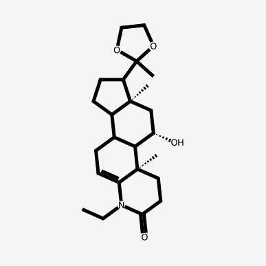 CCN1C(=O)CC[C@@]2(C)C1=CCC1C3CCC(C4(C)OCCO4)[C@@]3(C)C[C@H](O)C12